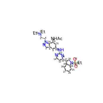 CCN(CC)CCn1ncc2cc(Nc3nccc(-c4cn(S(=O)(=O)CC)c5ccccc45)n3)cc(NC(C)=O)c21